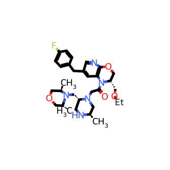 CCOC[C@H]1COc2ncc(Cc3ccc(F)cc3)cc2N1C(=O)CN1C[C@@H](C)NC[C@@H]1CN1[C@H](C)COC[C@H]1C